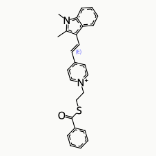 Cc1c(/C=C/c2cc[n+](CCSC(=O)c3ccccc3)cc2)c2ccccc2n1C